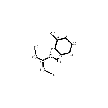 FOB(OF)OF.[K][CH]1CCCCC1